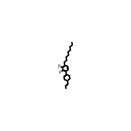 C/C=C/C1CC=C(c2ccc(CCCCCCCCC)c(F)c2F)CC1